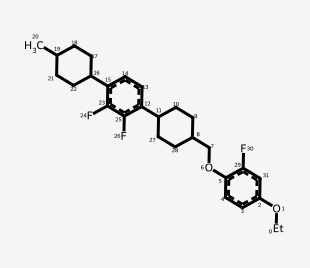 CCOc1ccc(OCC2CCC(c3ccc(C4CCC(C)CC4)c(F)c3F)CC2)c(F)c1